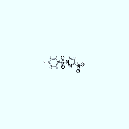 Cc1ccc(S(=O)(=O)n2ccc([N+](=O)[O-])n2)cc1